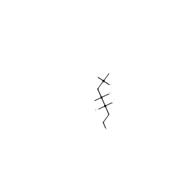 CC(F)(F)CC(F)(F)C(F)(F)CCF